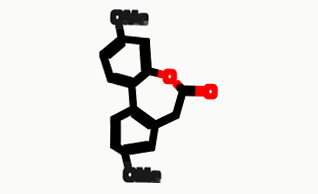 COc1ccc2c(c1)CC(=O)Oc1cc(OC)ccc1-2